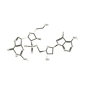 Nc1nc2c(ncn2[C@@H]2O[C@H](CCO)[C@@H](F)[C@H]2P(=O)(S)OC[C@H]2O[C@@H](n3cc(F)c4c(N)ncnc43)C[C@@H]2O)c(=O)[nH]1